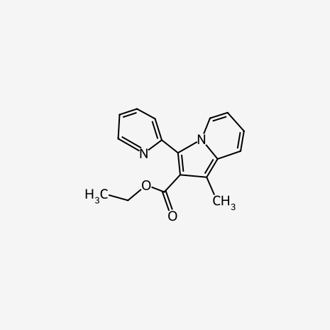 CCOC(=O)c1c(C)c2ccccn2c1-c1ccccn1